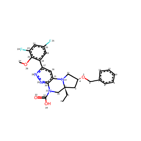 CC[C@]12C[C@@H](OCc3ccccc3)CN1c1cc(-c3cc(F)cc(F)c3OC)nnc1N(C(=O)O)C2